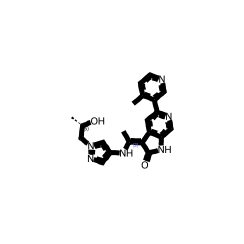 C/C(Nc1cnn(C[C@H](C)O)c1)=C1/C(=O)Nc2cnc(-c3cnccc3C)cc21